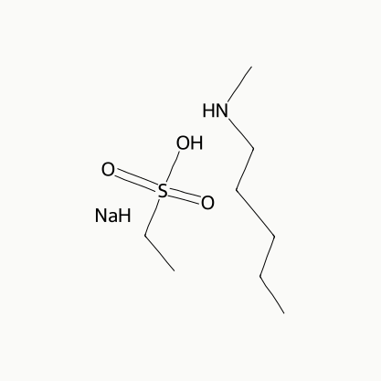 CCCCCNC.CCS(=O)(=O)O.[NaH]